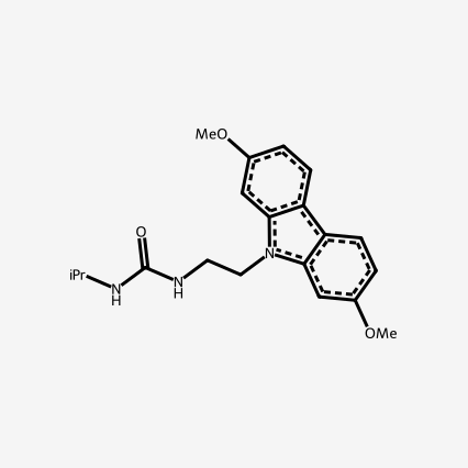 COc1ccc2c3ccc(OC)cc3n(CCNC(=O)NC(C)C)c2c1